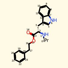 CC(C)N[C@@H](Cc1c[nH]c2ccccc12)C(=O)OCCc1ccccc1